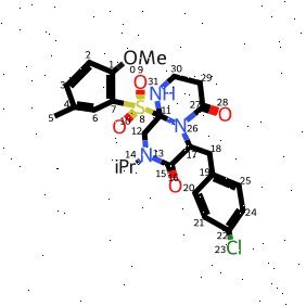 COc1ccc(C)cc1S(=O)(=O)C12CN(C(C)C)C(=O)C(Cc3ccc(Cl)cc3)N1C(=O)CCN2